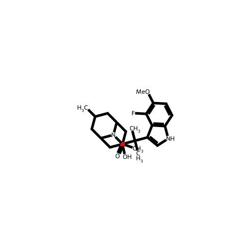 COc1ccc2[nH]cc(C(C)(C)C(=O)N3C4CC(C)CC3CC(C)(O)C4)c2c1F